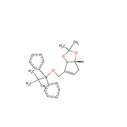 CC1(C)OC2C(CO[Si](c3ccccc3)(c3ccccc3)C(C)(C)C)=CC[C@H]2O1